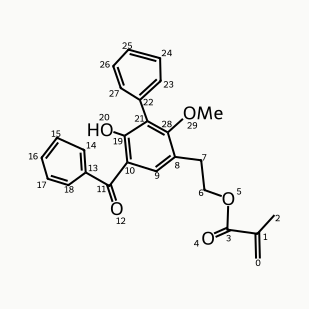 C=C(C)C(=O)OCCc1cc(C(=O)c2ccccc2)c(O)c(-c2ccccc2)c1OC